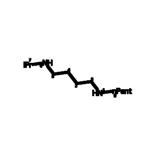 CCCCCNCCCCNC(C)C